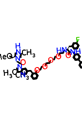 COC[C@H]1CN[C@H](C)CN1CC(=O)N1CC(C)(C)c2ncc(Cc3ccccc3OCCOCCOCCOCCN[C@H](Cc3cccc(F)c3)C(=O)Nc3ccc(-c4ccncc4)cc3)cc21